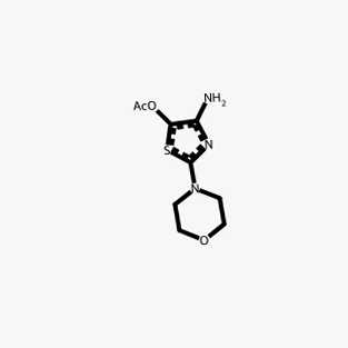 CC(=O)Oc1sc(N2CCOCC2)nc1N